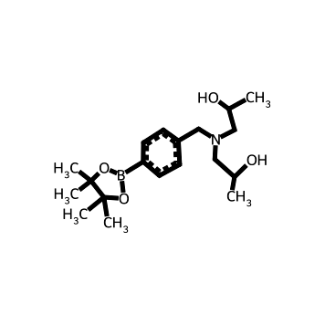 CC(O)CN(Cc1ccc(B2OC(C)(C)C(C)(C)O2)cc1)CC(C)O